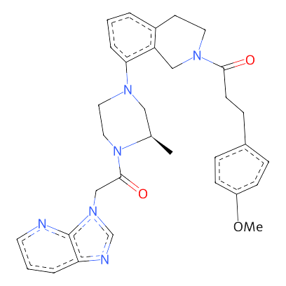 COc1ccc(CCC(=O)N2CCc3cccc(N4CCN(C(=O)Cn5cnc6cccnc65)[C@H](C)C4)c3C2)cc1